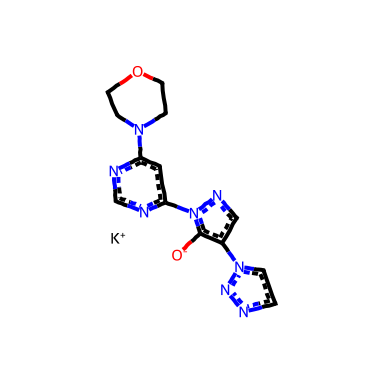 [K+].[O-]c1c(-n2ccnn2)cnn1-c1cc(N2CCOCC2)ncn1